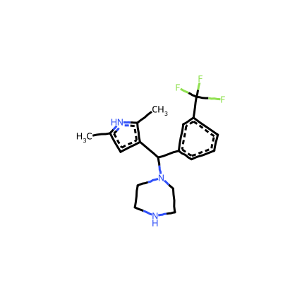 Cc1cc(C(c2cccc(C(F)(F)F)c2)N2CCNCC2)c(C)[nH]1